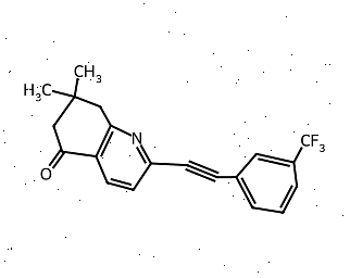 CC1(C)CC(=O)c2ccc(C#Cc3cccc(C(F)(F)F)c3)nc2C1